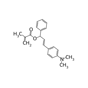 C=C(C)C(=O)OC(C=Cc1ccc(N(C)C)cc1)c1ccccc1